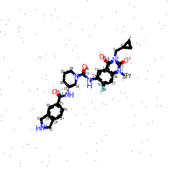 CC(C)n1c(=O)n(CC2CC2)c(=O)c2cc(NC(=O)N3CCC[C@@H](NC(=O)c4ccc5c(c4)CNC5)C3)c(F)cc21